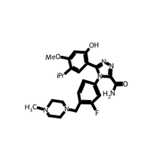 COc1cc(O)c(-c2nnc(C(N)=O)n2-c2ccc(CN3CCN(C)CC3)c(F)c2)cc1C(C)C